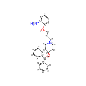 Nc1ccccc1OCCCN1CCC(OC(c2ccccc2)c2ccccc2)CC1